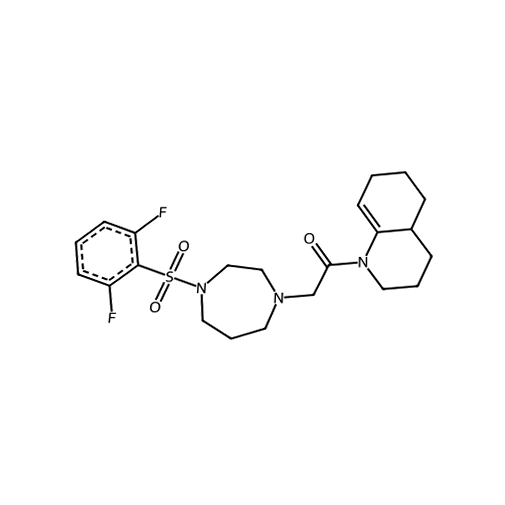 O=C(CN1CCCN(S(=O)(=O)c2c(F)cccc2F)CC1)N1CCCC2CCCC=C21